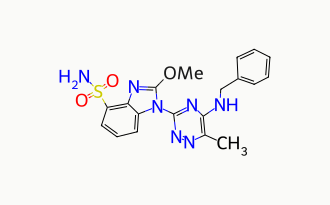 COc1nc2c(S(N)(=O)=O)cccc2n1-c1nnc(C)c(NCc2ccccc2)n1